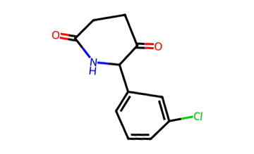 O=C1CCC(=O)C(c2cccc(Cl)c2)N1